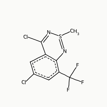 CS1=Nc2c(cc(Cl)cc2C(F)(F)F)C(Cl)=N1